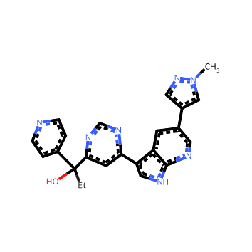 CCC(O)(c1ccncc1)c1cc(-c2c[nH]c3ncc(-c4cnn(C)c4)cc23)ncn1